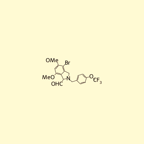 COc1cc(OC)c2c(c1Br)CN(Cc1ccc(OC(F)(F)F)cc1)C2C=O